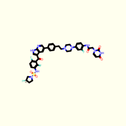 O=C(Cn1ccc(=O)[nH]c1=O)Nc1ccc(N2CCN(CCc3ccc(-c4cnc5[nH]cc(C(=O)c6c(F)ccc(NS(=O)(=O)N7CC[C@@H](F)C7)c6F)c5c4)cc3)CC2)cc1F